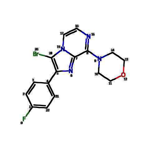 Fc1ccc(-c2nc3c(N4CCOCC4)nccn3c2Br)cc1